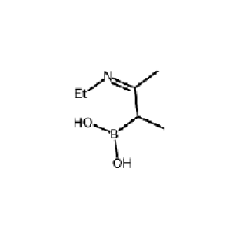 CC/N=C(/C)C(C)B(O)O